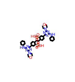 O=S(=O)(O)c1cc(-c2nc(Nc3ccccc3)nc(N3CCOCC3)n2)ccc1C=Cc1ccc(-c2nc(Nc3ccccc3)nc(N3CCOCC3)n2)cc1S(=O)(=O)O